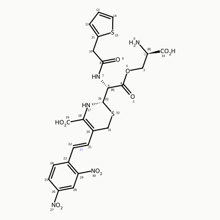 N[C@H](COC(=O)[C@@H](NC(=O)Cc1cccs1)[C@H]1NC(C(=O)O)=C(/C=C/c2ccc([N+](=O)[O-])cc2[N+](=O)[O-])CS1)C(=O)O